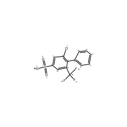 O=S(=O)(O)c1cc(Cl)c(-c2ccccc2)c(C(F)(F)F)c1